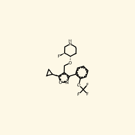 F[C@H]1CNCC[C@@H]1OCc1c(-c2ccccc2OC(F)(F)F)noc1C1CC1